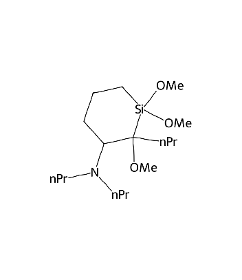 CCCN(CCC)C1CCC[Si](OC)(OC)C1(CCC)OC